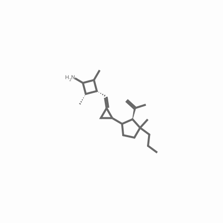 C=C(C)[C@@H]1C(C2C/C2=C\[C@H]2C(C)C(N)[C@H]2C)CCC1(C)CCC